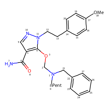 CCCCCN(COc1c(C(N)=O)cnn1CCc1ccc(OC)cc1)Cc1ccccc1